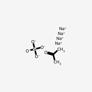 CC(C)=O.[Na+].[Na+].[Na+].[Na+].[O-][Si]([O-])([O-])[O-]